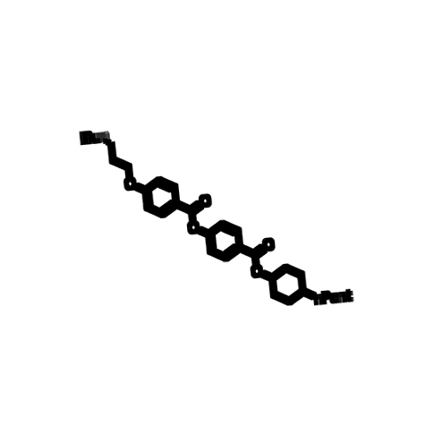 CCCCCC1CCC(OC(=O)c2ccc(OC(=O)c3ccc(OCCC[C@@H](C)CC)cc3)cc2)CC1